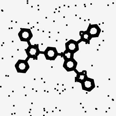 c1ccc(-c2cc(-c3ccccc3)nc(-c3ccc(-n4c5ccc(-c6nc7ccccc7o6)cc5c5cc(-c6nc7ccccc7o6)ccc54)cc3)n2)cc1